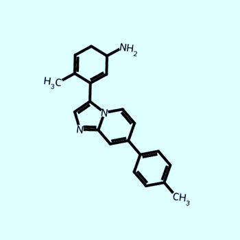 CC1=CCC(N)C=C1c1cnc2cc(-c3ccc(C)cc3)ccn12